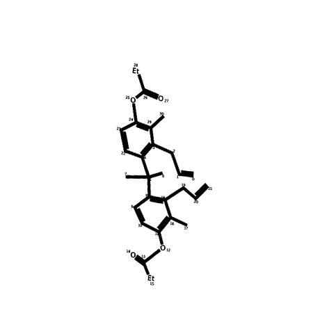 C=CCc1c(C(C)(C)c2ccc(OC(=O)CC)c(C)c2CC=C)ccc(OC(=O)CC)c1C